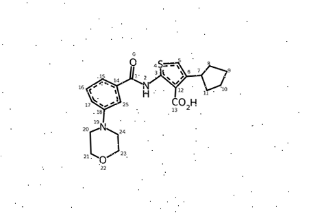 O=C(Nc1scc(C2CCCC2)c1C(=O)O)c1cccc(N2CCOCC2)c1